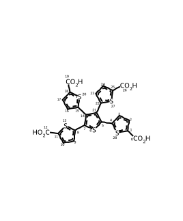 O=C(O)c1ccc(-c2sc(-c3ccc(C(=O)O)s3)c(-c3ccc(C(=O)O)s3)c2-c2ccc(C(=O)O)s2)s1